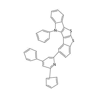 c1ccc(-c2cc(-c3ccccc3)nc(-c3ccc4sc5sc6c7ccccc7n(-c7ccccc7)c6c5c4c3)c2)cc1